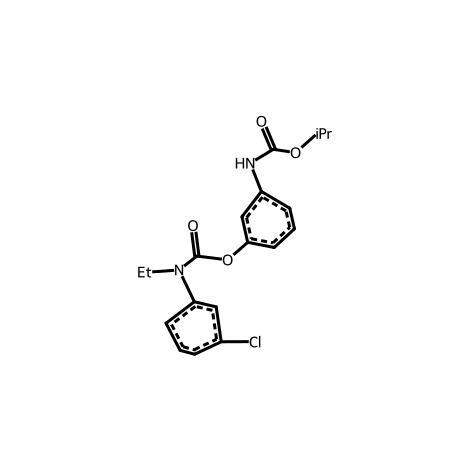 CCN(C(=O)Oc1cccc(NC(=O)OC(C)C)c1)c1cccc(Cl)c1